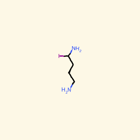 NCCCC(N)I